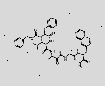 CC(C)CC(NC(=O)C(Cc1ccccc1)NC(=O)OCc1ccccc1)C(=O)NC(C)C(=O)C(=O)NCC(=O)NC(Cc1ccc2ccccc2c1)C(N)=O